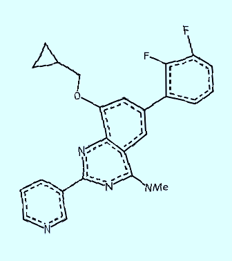 CNc1nc(-c2cccnc2)nc2c(OCC3CC3)cc(-c3cccc(F)c3F)cc12